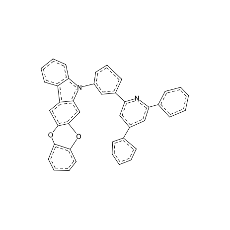 c1ccc(-c2cc(-c3ccccc3)nc(-c3cccc(-n4c5ccccc5c5cc6c(cc54)Oc4ccccc4O6)c3)c2)cc1